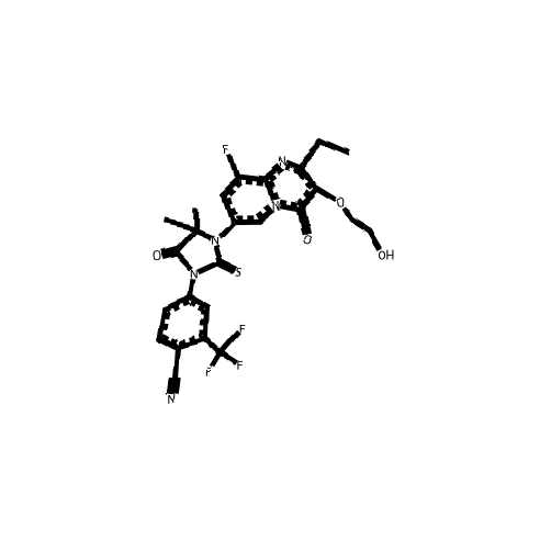 CCc1nc2c(F)cc(N3C(=S)N(c4ccc(C#N)c(C(F)(F)F)c4)C(=O)C3(C)C)cn2c(=O)c1OCCO